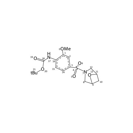 COc1cc(S(=O)(=O)N2CC3CC(C2)O3)ccc1NC(=O)OC(C)(C)C